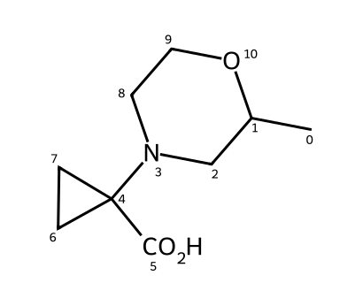 CC1CN(C2(C(=O)O)CC2)CCO1